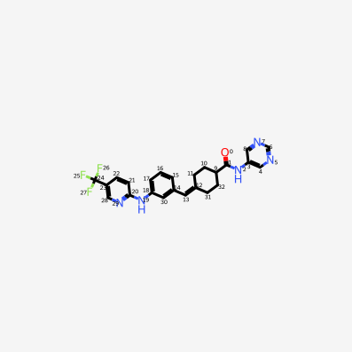 O=C(Nc1cncnc1)C1CCC(=Cc2cccc(Nc3ccc(C(F)(F)F)cn3)c2)CC1